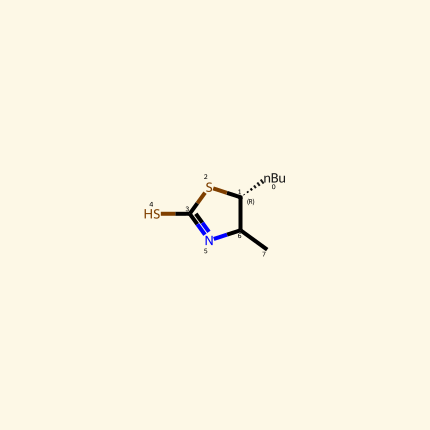 CCCC[C@H]1SC(S)=NC1C